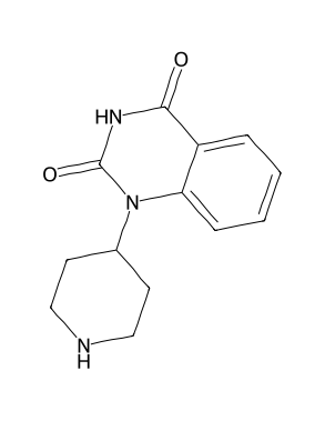 O=c1[nH]c(=O)n(C2CCNCC2)c2ccccc12